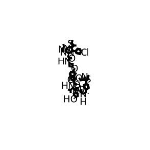 Cc1sc2c(c1C)C(c1ccc(Cl)cc1)=N[C@@H](CC(=O)N[C@H]1C[C@@H](Oc3ccc4oc(C(=O)N[C@H](C(=O)N5C[C@H](O)C[C@H]5C(=O)N[C@@H](C)c5ccc(-c6scnc6CO)cc5)C(C)C)cc4c3)C1)c1nnc(C)n1-2